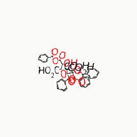 O=C(OC(=O)C(O)C(OC(C(=O)O)(C(=O)c1ccccc1)C(OC(=O)c1ccccc1)(C(=O)O)C(=O)c1ccccc1)C(=O)O)c1ccccc1